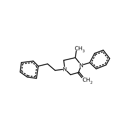 C=C1CN(CCc2ccccc2)CC(C)N1c1ccccc1